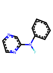 FN(c1ccccc1)c1cnccn1